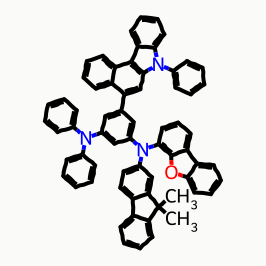 CC1(C)c2ccccc2-c2ccc(N(c3cc(-c4cc5c(c6ccccc46)c4ccccc4n5-c4ccccc4)cc(N(c4ccccc4)c4ccccc4)c3)c3cccc4c3oc3ccccc34)cc21